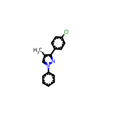 Cc1cn(-c2ccccc2)nc1-c1ccc(Cl)cc1